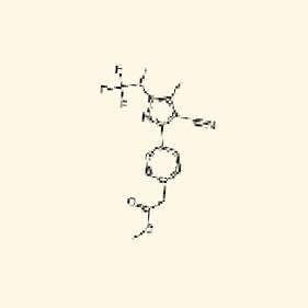 COC(=O)Cc1ccc(-c2nn(C(C)C(F)(F)F)c(C)c2C#N)cc1